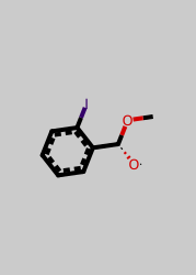 CO[C@H]([O])c1ccccc1I